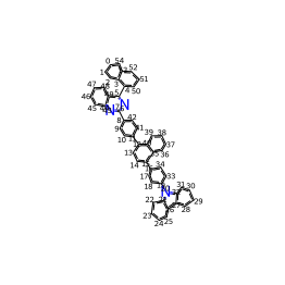 c1ccc2c(-c3nc(-c4ccc(-c5ccc(-c6ccc(-n7c8ccccc8c8ccccc87)cc6)c6ccccc56)cc4)nc4ccccc34)cccc2c1